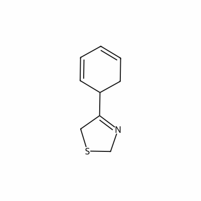 C1=CCC(C2=NCSC2)C=C1